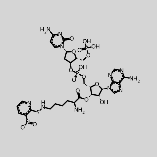 Nc1ccn([C@H]2C[C@H](OP(=O)(O)OC[C@@H]3O[C@@H](n4cnc5c(N)ncnc54)[C@H](O)[C@@H]3OC(=O)C(N)CCCCNSc3ncccc3[N+](=O)[O-])[C@@H](COP(=O)(O)O)O2)c(=O)n1